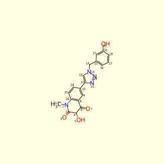 CN1C(=O)C(O)C(=O)c2cc(-c3cn(Cc4cccc(O)c4)nn3)ccc21